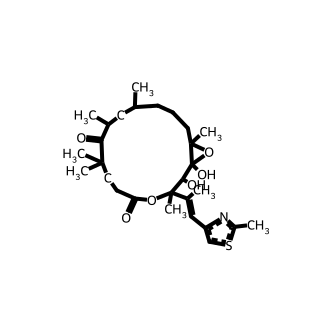 CC(=Cc1csc(C)n1)C1(C)OC(=O)CCC(C)(C)C(=O)C(C)CC(C)CCCC2(C)OC2(O)C1O